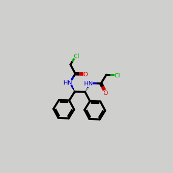 O=C(CCl)N[C@H](c1ccccc1)[C@H](NC(=O)CCl)c1ccccc1